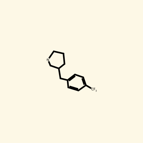 FC(F)(F)c1ccc(CC2CCC[N]C2)cc1